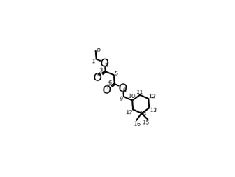 CCOC(=O)CC(=O)OCC1CCCC(C)(C)C1